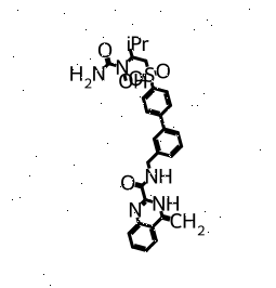 C=C1NC(C(=O)NCc2cccc(-c3ccc(S(=O)(=O)CC(C(C)C)N(O)C(N)=O)cc3)c2)=Nc2ccccc21